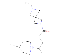 CC(=O)NC1CCN(C(C)CCC(=O)N2CC3(C2)CN(C(C)(C)C)C3)CC1